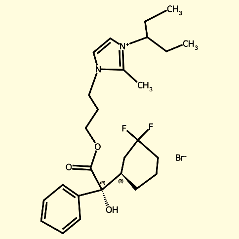 CCC(CC)[n+]1ccn(CCCOC(=O)[C@](O)(c2ccccc2)[C@@H]2CCCC(F)(F)C2)c1C.[Br-]